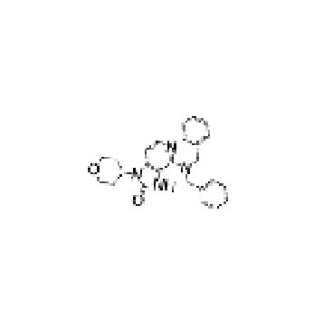 O=c1[nH]c2c(N(Cc3ccccc3)Cc3ccccc3)nccc2n1C1CCOCC1